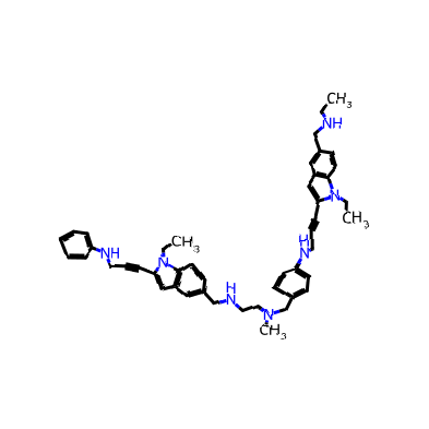 CCNCc1ccc2c(c1)cc(C#CCNc1ccc(CN(C)CCNCc3ccc4c(c3)cc(C#CCNc3ccccc3)n4CC)cc1)n2CC